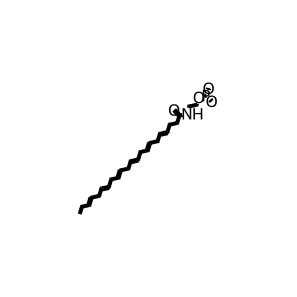 CCC=CCC=CCC=CCC=CCC=CCC=CCCC(=O)NCCOP(=O)=O